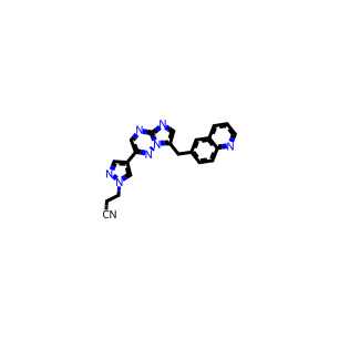 N#CCCn1cc(-c2cnc3ncc(Cc4ccc5ncccc5c4)n3n2)cn1